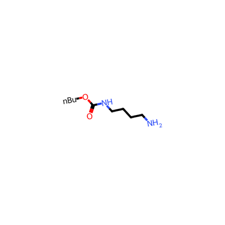 CCCCOC(=O)NCCCCN